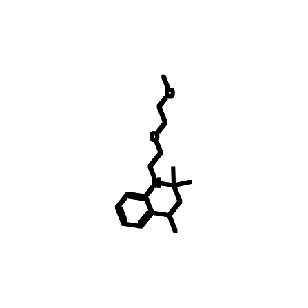 COCCOCCN1c2ccccc2C(C)CC1(C)C